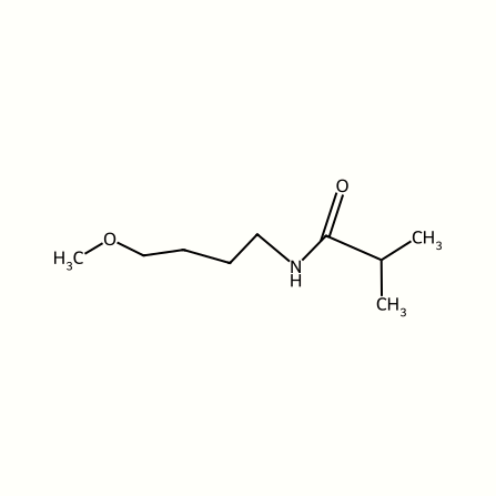 COCCCCNC(=O)C(C)C